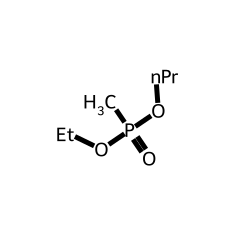 CCCOP(C)(=O)OCC